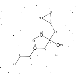 CCCOCC(CC1CC1)(OC)OC